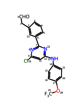 O=CCc1cccc(-c2nc(Cl)cc(Nc3ccc(OC(F)(F)F)cc3)n2)c1